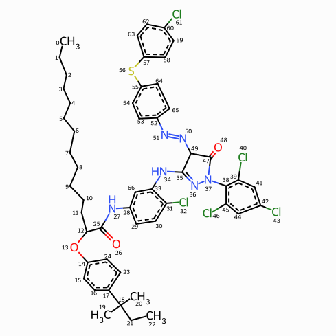 CCCCCCCCCCCCC(Oc1ccc(C(C)(C)CC)cc1)C(=O)Nc1ccc(Cl)c(NC2=NN(c3c(Cl)cc(Cl)cc3Cl)C(=O)C2N=Nc2ccc(Sc3ccc(Cl)cc3)cc2)c1